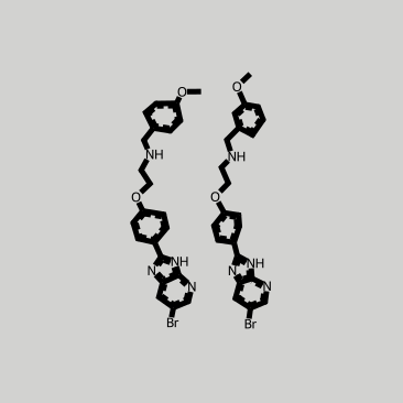 COc1ccc(CNCCOc2ccc(-c3nc4cc(Br)cnc4[nH]3)cc2)cc1.COc1cccc(CNCCOc2ccc(-c3nc4cc(Br)cnc4[nH]3)cc2)c1